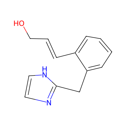 OCC=Cc1ccccc1Cc1ncc[nH]1